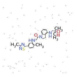 Cc1nsc(-c2ccc(C)c(NCC(=O)N3CCc4c(NCC(C)(C)O)cccc43)c2)n1